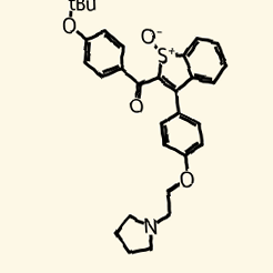 CC(C)(C)Oc1ccc(C(=O)c2c(-c3ccc(OCCN4CCCC4)cc3)c3ccccc3[s+]2[O-])cc1